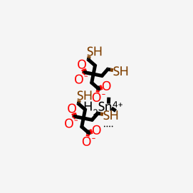 O=C([O-])CC(CCS)(CCS)C(=O)[O-].O=C([O-])CC(CCS)(CCS)C(=O)[O-].[CH3][SnH2+4][CH3]